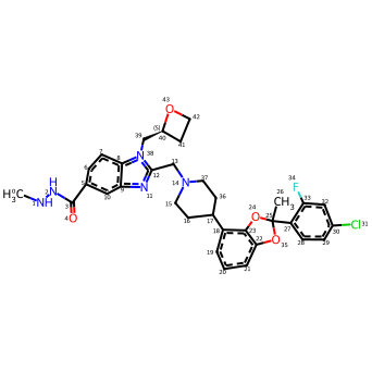 CNNC(=O)c1ccc2c(c1)nc(CN1CCC(c3cccc4c3OC(C)(c3ccc(Cl)cc3F)O4)CC1)n2C[C@@H]1CCO1